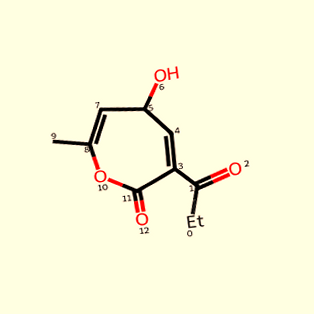 CCC(=O)C1=CC(O)C=C(C)OC1=O